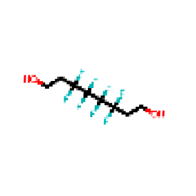 OCCC(F)(F)C(F)(F)C(F)(F)C(F)(F)CCO